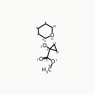 COC(=O)C1(O[C@@H]2CCCCO2)CC1